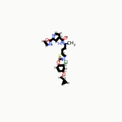 C[C@@H](/C=C/c1cnc(Oc2ccc(OCC3CC3)cc2Cl)s1)NC(=O)c1ccnc(-c2ncco2)c1